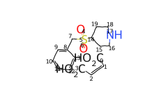 O=C(O)/C=C\C(=O)O.O=S(=O)(Cc1ccccc1)C1CCNCC1